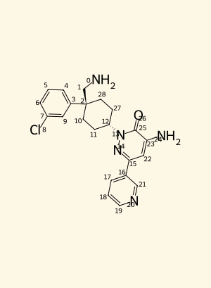 NC[C@]1(c2cccc(Cl)c2)CC[C@@H](n2nc(-c3cccnc3)cc(N)c2=O)CC1